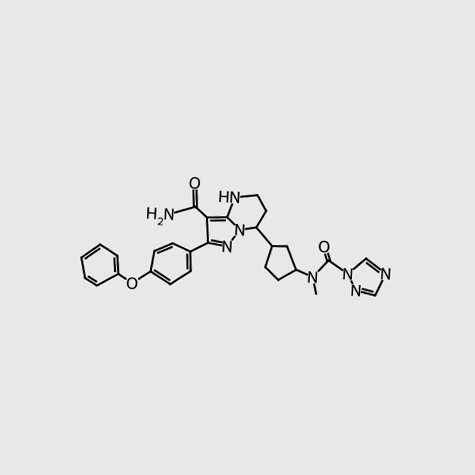 CN(C(=O)n1cncn1)C1CCC(C2CCNc3c(C(N)=O)c(-c4ccc(Oc5ccccc5)cc4)nn32)C1